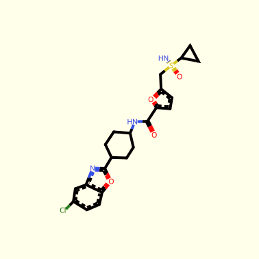 N=S(=O)(Cc1ccc(C(=O)NC2CCC(c3nc4cc(Cl)ccc4o3)CC2)o1)C1CC1